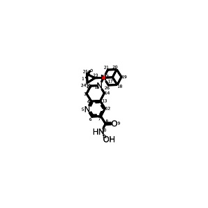 CC[C@H]1Cc2ncc(C(=O)NO)cc2CN1CC1C2CC1CN(C1CC1)C2